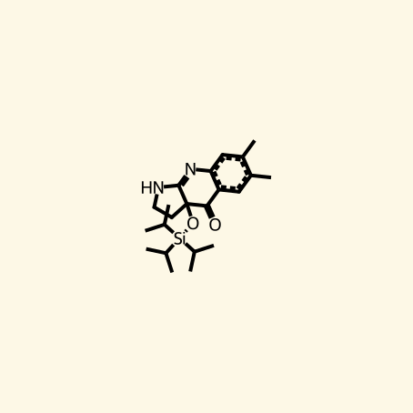 Cc1cc2c(cc1C)C(=O)C1(O[Si](C(C)C)(C(C)C)C(C)C)CCNC1=N2